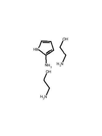 NCCO.NCCO.N[C]1=CC=[CH][BiH]1